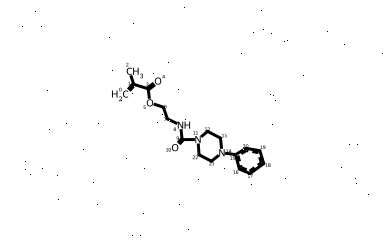 C=C(C)C(=O)OCCNC(=O)N1CCN(c2ccccc2)CC1